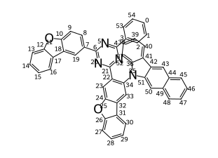 c1ccc(-c2nc(-c3ccc4oc5ccccc5c4c3)nc(-c3cc4oc5ccccc5c4cc3-n3c4ccccc4c4cc5ccccc5cc43)n2)cc1